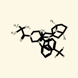 Cc1nc2ccccc2n1C1C[C@H]2CC[C@@H](C1)N2CCC1(c2ccc(C(F)(F)F)cc2)CCN(C(=O)C(C)(C)C)CC1